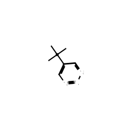 CC(C)(C)c1[c]nnnc1